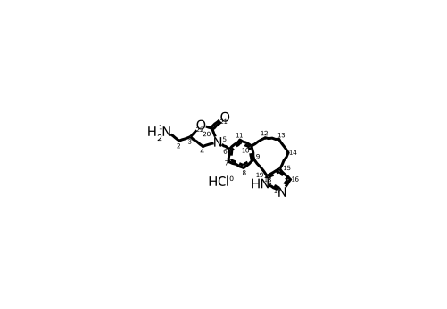 Cl.NCC1CN(c2ccc3c(c2)CCCc2cn[nH]c2-3)C(=O)O1